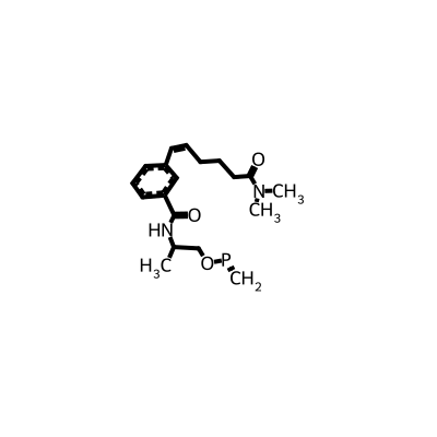 C=POCC(C)NC(=O)c1cccc(/C=C\CCCC(=O)N(C)C)c1